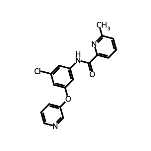 Cc1cccc(C(=O)Nc2cc(Cl)cc(Oc3cccnc3)c2)n1